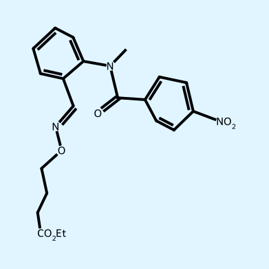 CCOC(=O)CCCON=Cc1ccccc1N(C)C(=O)c1ccc([N+](=O)[O-])cc1